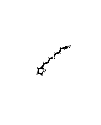 N#CCCCOCCCC1CCCO1